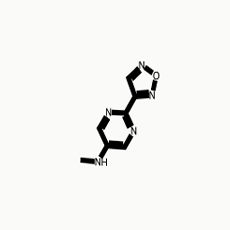 CNc1cnc(-c2cnon2)nc1